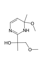 COCC(C)(O)C1=NC=CC(C)(OC)N1